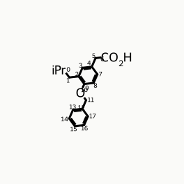 CC(C)Cc1cc(CC(=O)O)ccc1OCc1ccccc1